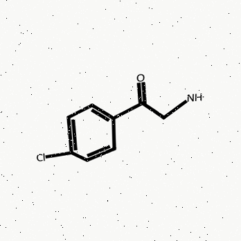 [NH]CC(=O)c1ccc(Cl)cc1